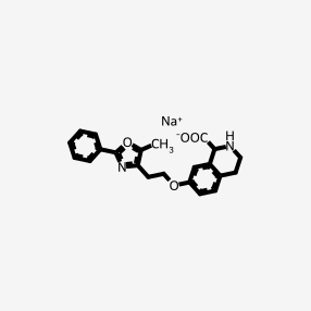 Cc1oc(-c2ccccc2)nc1CCOc1ccc2c(c1)C(C(=O)[O-])NCC2.[Na+]